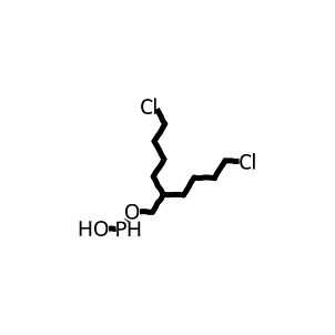 OPOCC(CCCCCl)CCCCCl